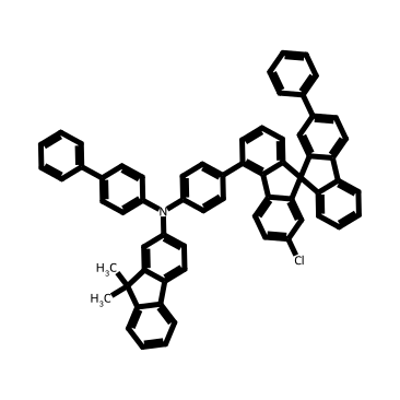 CC1(C)c2ccccc2-c2ccc(N(c3ccc(-c4ccccc4)cc3)c3ccc(-c4cccc5c4-c4ccc(Cl)cc4C54c5ccccc5-c5ccc(-c6ccccc6)cc54)cc3)cc21